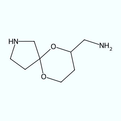 NCC1CCOC2(CCNC2)O1